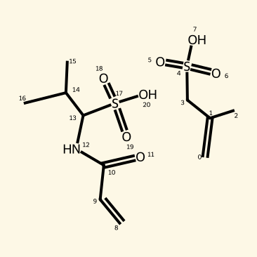 C=C(C)CS(=O)(=O)O.C=CC(=O)NC(C(C)C)S(=O)(=O)O